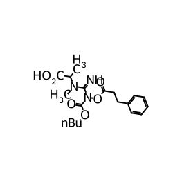 CCCCOC(=O)N(OC(=O)CCc1ccccc1)C(=N)N(C)C(C)C(=O)O